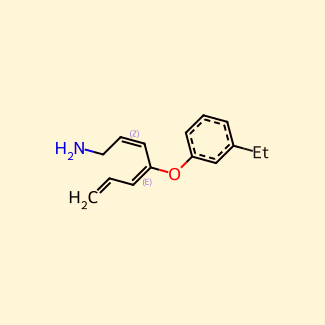 C=C/C=C(\C=C/CN)Oc1cccc(CC)c1